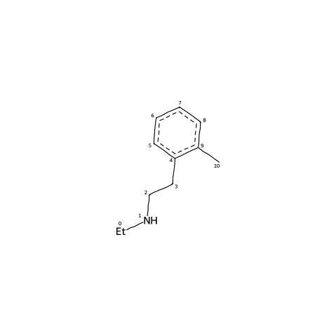 CCNCCc1ccccc1C